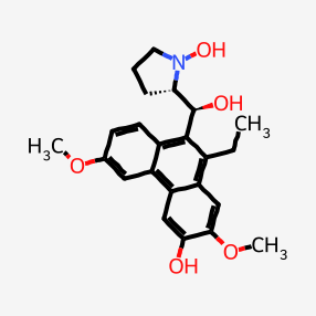 CCc1c([C@H](O)[C@@H]2CCCN2O)c2ccc(OC)cc2c2cc(O)c(OC)cc12